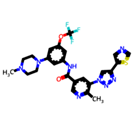 Cc1ncc(C(=O)Nc2cc(OC(F)(F)F)cc(N3CCN(C)CC3)c2)cc1-n1cc(-c2cncs2)nn1